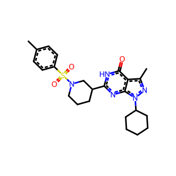 Cc1ccc(S(=O)(=O)N2CCCC(c3nc4c(c(C)nn4C4CCCCC4)c(=O)[nH]3)C2)cc1